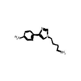 NCCCCn1cnc(-c2ccc(N)cc2)c1